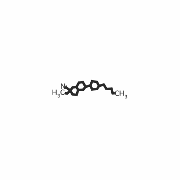 CCCCCC1CCC(C2CCC3CC(C#N)(CC)CCC3C2)CC1